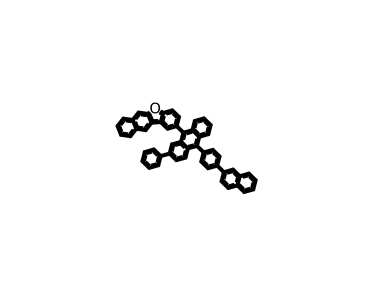 c1ccc(-c2ccc3c(-c4ccc(-c5ccc6ccccc6c5)cc4)c4ccccc4c(-c4ccc5oc6cc7ccccc7cc6c5c4)c3c2)cc1